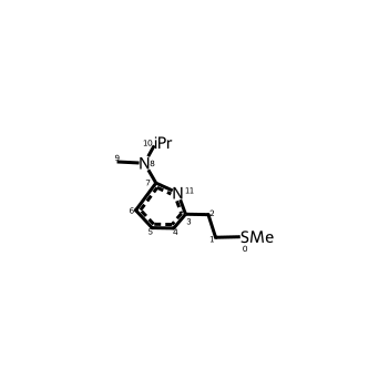 CSCCc1cccc(N(C)C(C)C)n1